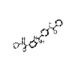 O=C(Nc1ccc(-c2nc3cc(C(=O)NC4CCCC4)ccc3[nH]2)cc1)c1ccccc1